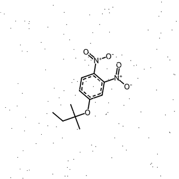 CCC(C)(C)Oc1ccc([N+](=O)[O-])c([N+](=O)[O-])c1